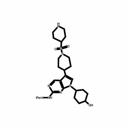 CCCC(C)Nc1ncc2c(C3CCN(S(=O)(=O)C4CCNCC4)CC3)cn(C3CCC(O)CC3)c2n1